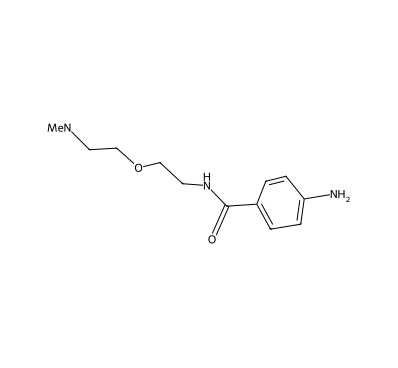 CNCCOCCNC(=O)c1ccc(N)cc1